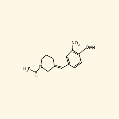 COc1ccc(C=C2CCCN(PP)C2)cc1[N+](=O)[O-]